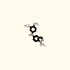 CC1CCC(Nc2ccc3c(cnn3C)c2)CC1C